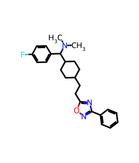 CN(C)C(c1ccc(F)cc1)C1CCC(CCc2nc(-c3ccccc3)no2)CC1